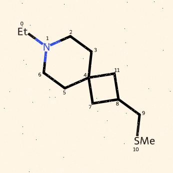 CCN1CCC2(CC1)CC(CSC)C2